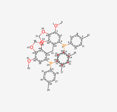 COc1cc(P(c2ccc(C)cc2)c2ccc(C)cc2)c(Cc2c(P(c3ccc(C)cc3)c3ccc(C)cc3)cc(OC)c3c2OCO3)c2c1OCO2